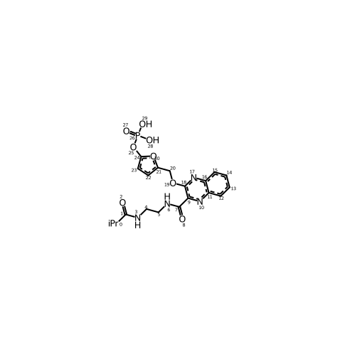 CC(C)C(=O)NCCNC(=O)c1nc2ccccc2nc1OCc1ccc(OP(=O)(O)O)o1